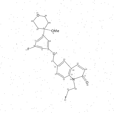 COC1(c2cc(F)cc(OCc3ccc4c(ccc(=O)n4CCF)c3)c2)CCOCC1